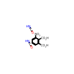 N=C=O.N=C=O.O=C(O)c1cccc([N+](=O)[O-])c1C(=O)O